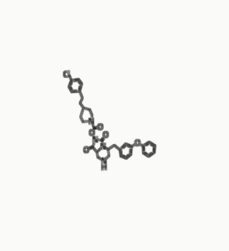 O=C(ON1C(=O)C2CNCC(Cc3cccc(Oc4ccccc4)c3)N2C1=O)N1CCC(CCc2ccc(Cl)cc2)CC1